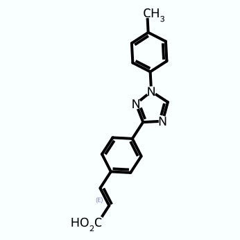 Cc1ccc(-n2cnc(-c3ccc(/C=C/C(=O)O)cc3)n2)cc1